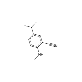 CNc1ccc(C(C)C)cc1C#N